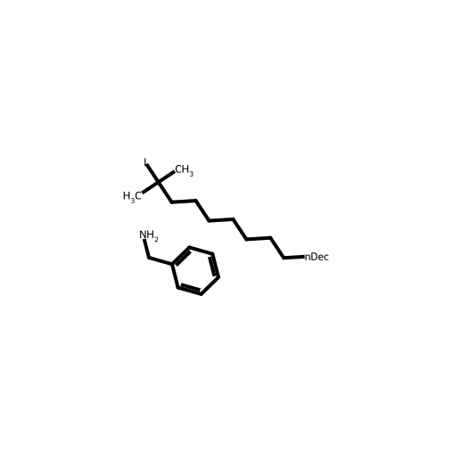 CCCCCCCCCCCCCCCCCC(C)(C)I.NCc1ccccc1